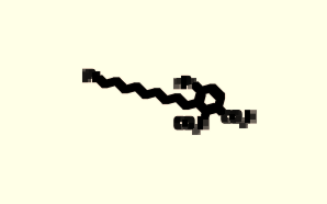 CCCc1ccc(C(=O)O)c(C(=O)O)c1CCCCCCCCCC(C)C